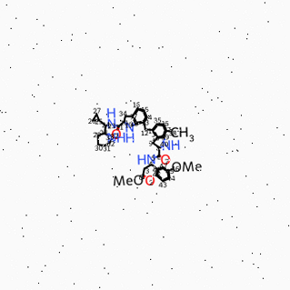 COC(=O)CC(NC(=O)C1Cc2c(Cc3cccc4c3NC(C(=O)NC(C3CC3)C3CCCCN3)C4)ccc(C)c2N1)c1cccc(OC)c1